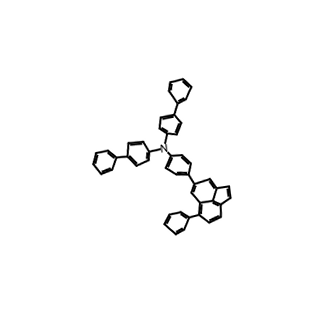 C1=Cc2cc(-c3ccc(N(c4ccc(-c5ccccc5)cc4)c4ccc(-c5ccccc5)cc4)cc3)cc3c(-c4ccccc4)ccc1c23